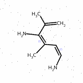 C=C(C)/C(N)=C(C)\C=C/N